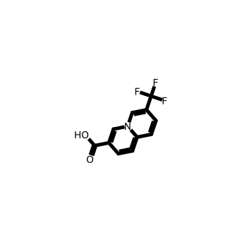 O=C(O)C1=CN2C=C(C(F)(F)F)C=CC2=C=C1